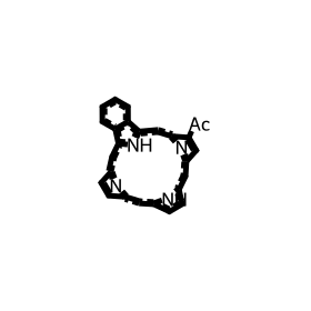 CC(=O)C1=Cc2cc3ccc(cc4nc(cc5[nH]c(cc1n2)c1ccccc51)C=C4)[nH]3